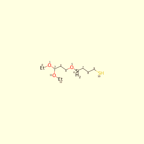 CCOC(CCO[SiH2]CCCS)OCC